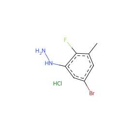 Cc1cc(Br)cc(NN)c1F.Cl